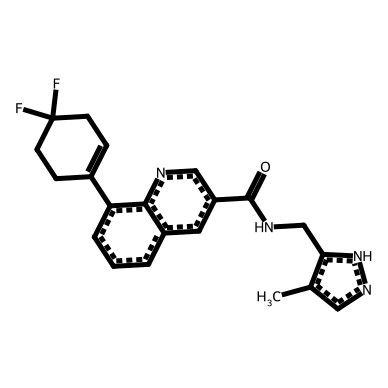 Cc1cn[nH]c1CNC(=O)c1cnc2c(C3=CCC(F)(F)CC3)cccc2c1